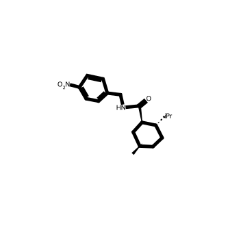 CC(C)[C@@H]1CC[C@@H](C)C[C@H]1C(=O)NCc1ccc([N+](=O)[O-])cc1